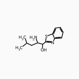 CC(C)CC(N)C(O)c1nc2ccccc2s1